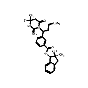 CCC1(C)CC(=O)N(C(CCOC)c2cccc(C(=O)N[C@@H]3c4ccccc4C[C@]3(C)O)c2)C(=N)N1